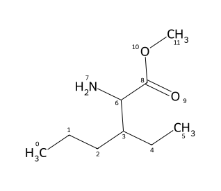 CCCC(CC)C(N)C(=O)OC